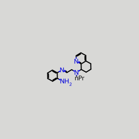 CCCN(C/C=N/c1ccccc1N)C1CCCc2cccnc21